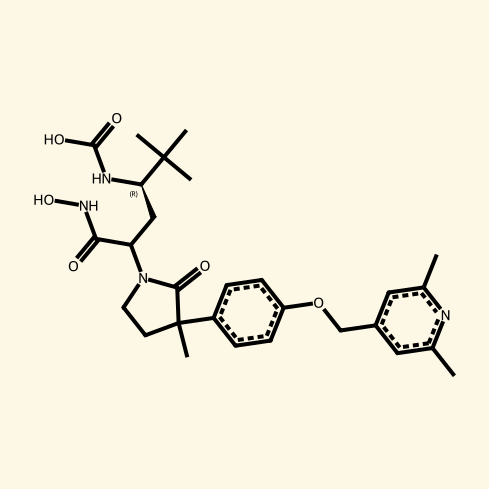 Cc1cc(COc2ccc(C3(C)CCN(C(C[C@@H](NC(=O)O)C(C)(C)C)C(=O)NO)C3=O)cc2)cc(C)n1